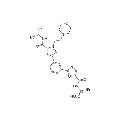 CCC(CC)NC(=O)c1cc(-c2cccc(-c3ncc(C(=O)N[C@H](C(=O)O)C(C)C)o3)c2)nn1CCN1CCOCC1